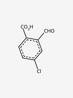 O=Cc1cc(Cl)ccc1C(=O)O